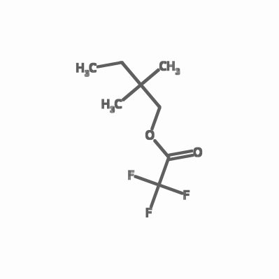 CCC(C)(C)COC(=O)C(F)(F)F